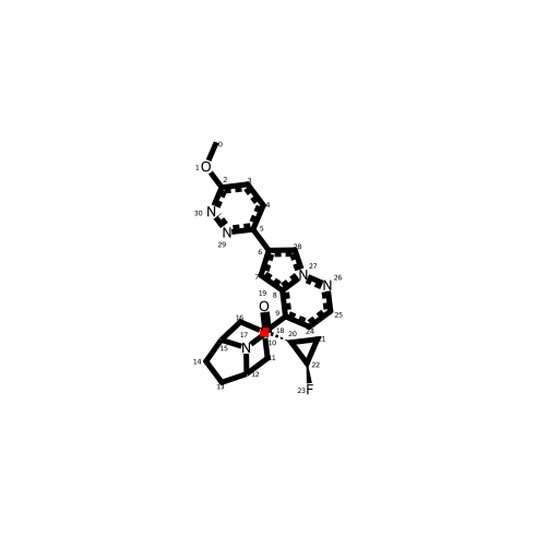 COc1ccc(-c2cc3c(N4CC5CCC(C4)N5C(=O)[C@@H]4C[C@H]4F)ccnn3c2)nn1